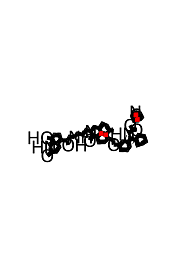 Cc1ccc(CN(CCCNCC(O)c2ccc(O)c3[nH]c(=O)ccc23)C(=O)c2ccc(COc3cccc([C@@H](NC(=O)OC4CN5CCC4CC5)c4ccccc4)c3)cc2)cc1